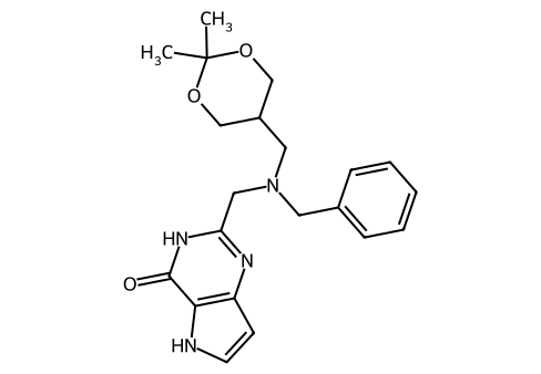 CC1(C)OCC(CN(Cc2ccccc2)Cc2nc3cc[nH]c3c(=O)[nH]2)CO1